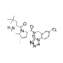 CC1[C@@H](C)C[C@@H](C(=O)NCc2cc(Cl)ccc2-n2cnnn2)N1C(=O)[C@H](N)CC(C)(C)C